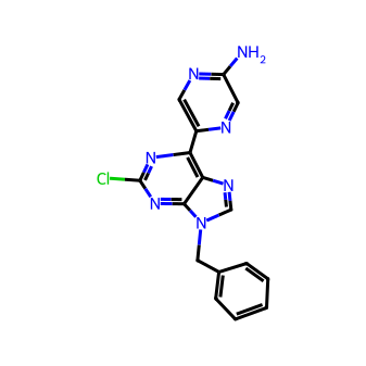 Nc1cnc(-c2nc(Cl)nc3c2ncn3Cc2ccccc2)cn1